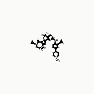 CN1CCC(c2ccc(Nc3ncc(C(F)(F)F)c(-c4cc5c(s4)C(=O)N(C4CC4)CCS5(=O)=O)n3)c(C3CC3)c2)CC1